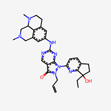 C=CCn1c(=O)c2cnc(Nc3cc4c5c(c3)CN(C)CC5N(C)CC4)nc2n1-c1ccc2c(n1)C(O)(CC)CC2